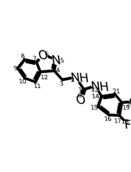 O=C(NCc1noc2ccccc12)Nc1ccc(F)c(Cl)c1